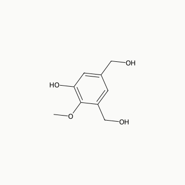 COc1c(O)cc(CO)cc1CO